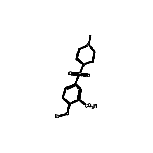 CCOC1CC=C(S(=O)(=O)N2CCN(C)CC2)C=C1C(=O)O